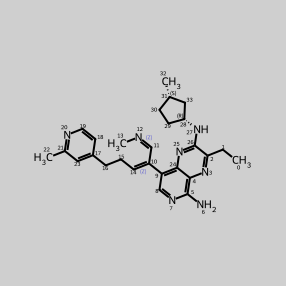 CCc1nc2c(N)ncc(C(/C=N\C)=C/CCc3ccnc(C)c3)c2nc1N[C@@H]1CC[C@H](C)C1